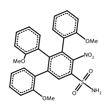 COc1ccccc1-c1cc(S(N)(=O)=O)c([N+](=O)[O-])c(-c2ccccc2OC)c1-c1ccccc1OC